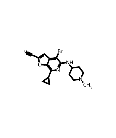 CN1CCC(Nc2nc(C3CC3)c3oc(C#N)cc3c2Br)CC1